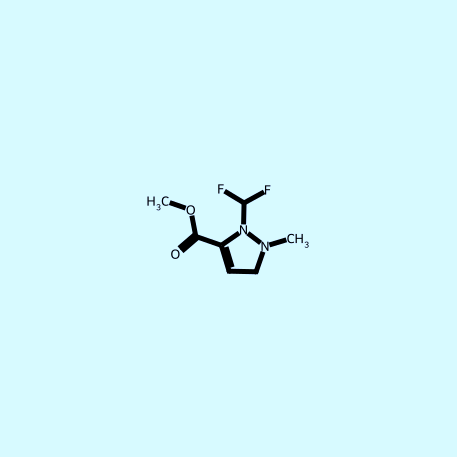 COC(=O)C1=CCN(C)N1C(F)F